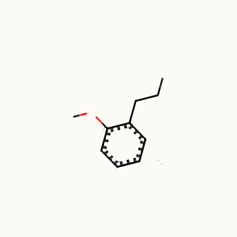 CCCCCCCCCc1ccccc1OC(=O)[O-].[Na+]